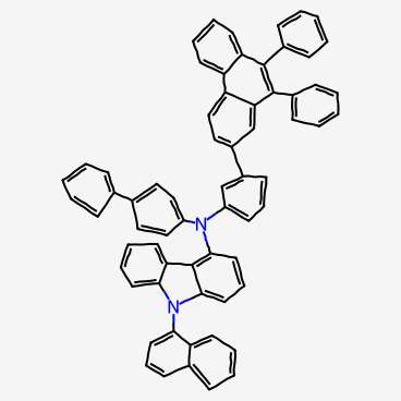 c1ccc(-c2ccc(N(c3cccc(-c4ccc5c(c4)c(-c4ccccc4)c(-c4ccccc4)c4ccccc45)c3)c3cccc4c3c3ccccc3n4-c3cccc4ccccc34)cc2)cc1